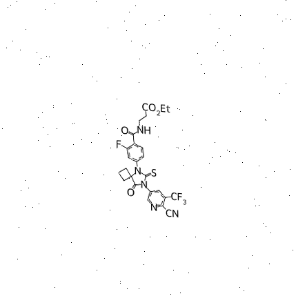 CCOC(=O)CCNC(=O)c1ccc(N2C(=S)N(c3cnc(C#N)c(C(F)(F)F)c3)C(=O)C23CCC3)cc1F